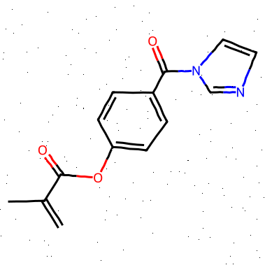 C=C(C)C(=O)Oc1ccc(C(=O)n2ccnc2)cc1